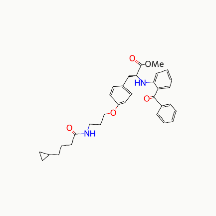 COC(=O)[C@H](Cc1ccc(OCCCNC(=O)CCCC2CC2)cc1)Nc1ccccc1C(=O)c1ccccc1